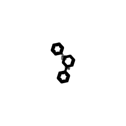 C1=C[C@@H](c2ccccc2)C[C@H](c2ccccc2)C1